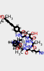 C[C@H](NC(=O)[C@H](CCCCN)NC(=O)[C@H](C)NC(=O)[C@@H](NC(=O)[C@H](CCN)NC(=O)c1ccc(C#CC#CC(C)(C)O)cc1)[C@@H](C)O)B1O[C@@H]2C[C@@H]3C[C@@H](C3(C)C)[C@]2(C)O1